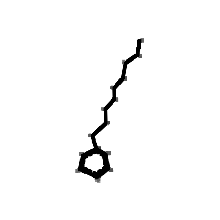 CCCCCCCCCc1c[c][c]cc1